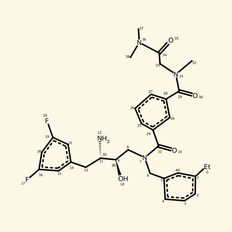 CCc1cccc(CN(C[C@@H](O)[C@@H](N)Cc2cc(F)cc(F)c2)C(=O)c2cccc(C(=O)N(C)CC(=O)N(C)C)c2)c1